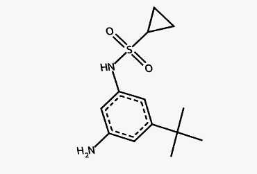 CC(C)(C)c1cc(N)cc(NS(=O)(=O)C2CC2)c1